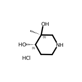 C[C@]1(O)CNCC[C@@H]1O.Cl